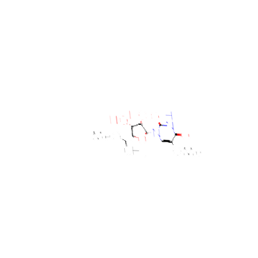 COc1cn([C@@H]2O[C@H](C(C)OC)[C@@H](O)[C@H]2O)c(=O)[nH]c1=O